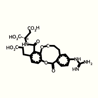 N=C(N)Nc1ccc2c(c1)CCCOc1c(ccc(CCC(=O)O)c1C(=O)N[C@@H](CC(=O)O)C(=O)O)OC2=O